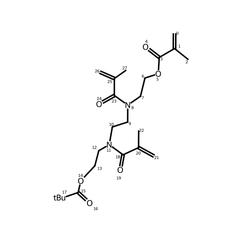 C=C(C)C(=O)OCCN(CCN(CCOC(=O)C(C)(C)C)C(=O)C(=C)C)C(=O)C(=C)C